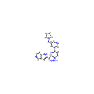 c1cc2[nH]c(-c3n[nH]c4ccc(-c5cncc(CN6CCCC6)c5)nc34)cc2cn1